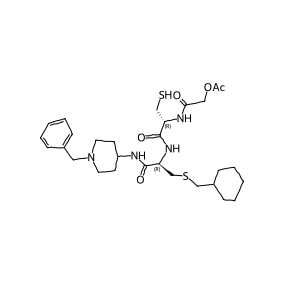 CC(=O)OCC(=O)N[C@@H](CS)C(=O)N[C@@H](CSCC1CCCCC1)C(=O)NC1CCN(Cc2ccccc2)CC1